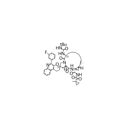 CC(C)(C)NC(=O)N[C@H]1CCCCC/C=C\[C@@H]2C[C@@]2(C(=O)NS(=O)(=O)C2(C)CC2)NC(=O)[C@@H]2C[C@]3(CCc4c(c(-c5cccc(F)c5)nc5ccccc45)O3)CN2C1=O